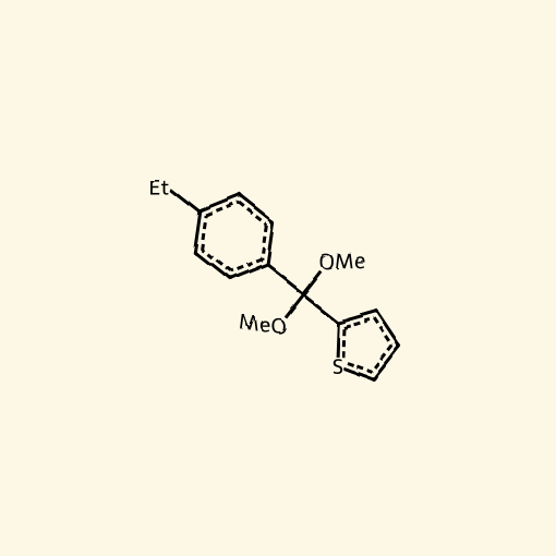 CCc1ccc(C(OC)(OC)c2cccs2)cc1